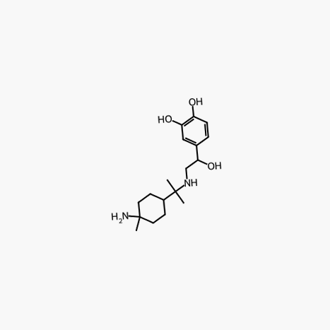 CC1(N)CCC(C(C)(C)NCC(O)c2ccc(O)c(O)c2)CC1